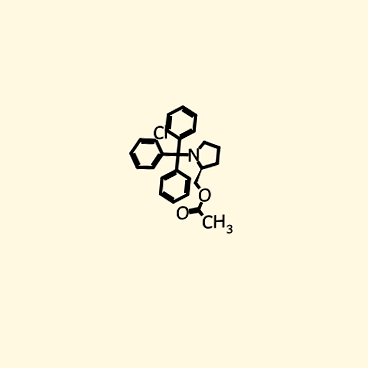 CC(=O)OC[C@@H]1CCCN1C(c1ccccc1)(c1ccccc1)c1ccccc1Cl